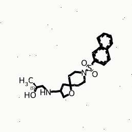 C[C@H](O)CNC1COC2(CCN(S(=O)(=O)c3ccc4ccccc4c3)CC2)C1